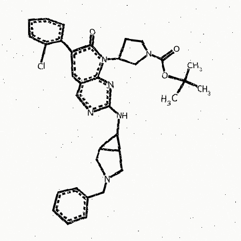 CC(C)(C)OC(=O)N1CCC(n2c(=O)c(-c3ccccc3Cl)cc3cnc(NC4C5CN(Cc6ccccc6)CC54)nc32)C1